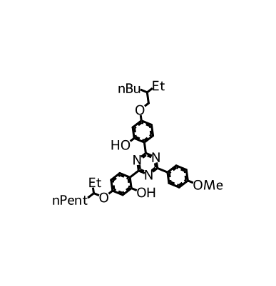 CCCCCC(CC)Oc1ccc(-c2nc(-c3ccc(OC)cc3)nc(-c3ccc(OCC(CC)CCCC)cc3O)n2)c(O)c1